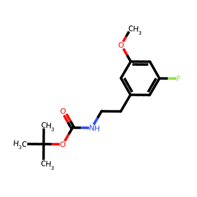 COc1cc(F)cc(CCNC(=O)OC(C)(C)C)c1